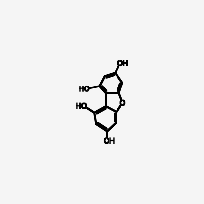 Oc1cc(O)c2c(c1)oc1cc(O)cc(O)c12